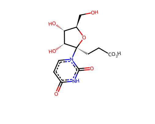 O=C(O)CC[C@@]1(n2ccc(=O)[nH]c2=O)O[C@H](CO)[C@@H](O)[C@H]1O